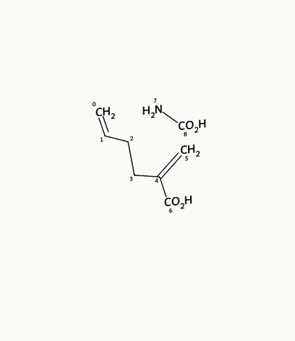 C=CCCC(=C)C(=O)O.NC(=O)O